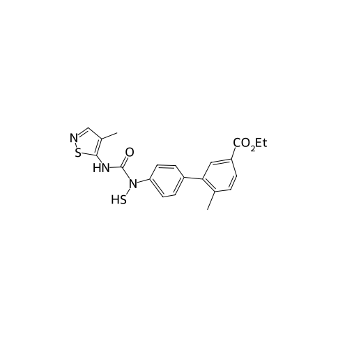 CCOC(=O)c1ccc(C)c(-c2ccc(N(S)C(=O)Nc3sncc3C)cc2)c1